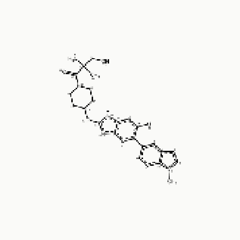 Cn1ccc2cc(-c3nc4nc(OC5CCN(C(=O)C(C)(C)CO)CC5)[nH]c4cc3Cl)ccc21